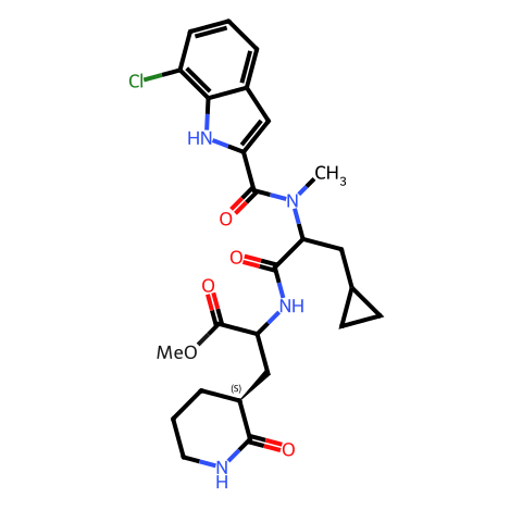 COC(=O)C(C[C@@H]1CCCNC1=O)NC(=O)C(CC1CC1)N(C)C(=O)c1cc2cccc(Cl)c2[nH]1